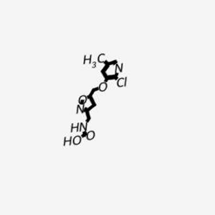 Cc1cnc(Cl)c(OCC2CC(CNC(=O)O)=NO2)c1